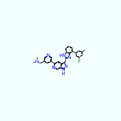 Cc1cc(F)cc(-c2cccc3[nH]c(-c4n[nH]c5cnc(-c6cncc(CN(C)C)c6)cc45)nc23)c1